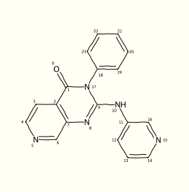 O=c1c2ccncc2nc(Nc2cccnc2)n1-c1ccccc1